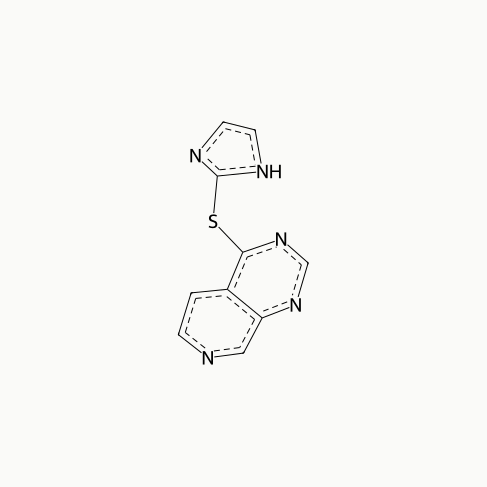 c1cc2c(Sc3ncc[nH]3)ncnc2cn1